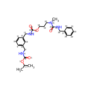 CC(C)OC(=O)NCc1cccc(CNC(=O)OCCCN(C)C(=O)NCc2ccccc2)c1